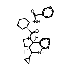 O=C(N[C@@H]1CCCC[C@@H]1C(=O)N1CC[C@@H]2[C@H](C3CC3)Nc3ccccc3[C@@H]21)c1ccccc1